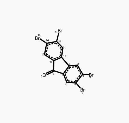 O=C1c2cc(Br)c(Br)cc2-c2cc(Br)c(Br)cc21